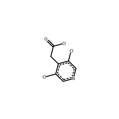 O=C(Cl)Cc1c(Cl)cncc1Cl